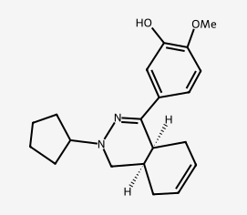 COc1ccc(C2=NN(C3CCCC3)C[C@@H]3CC=CC[C@H]23)cc1O